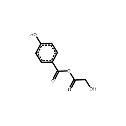 O=C(CO)OC(=O)c1ccc(O)cc1